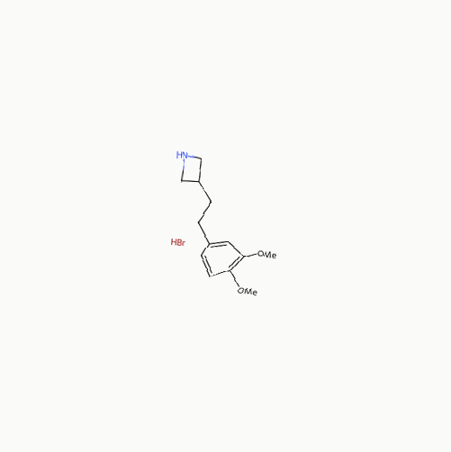 Br.COc1ccc(CCC2CNC2)cc1OC